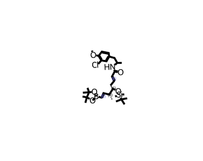 COc1ccc(CC(C)NC(=O)/C=C/C[C@H](O[Si](C)(C)C(C)(C)C)[C@H](C)/C=C/B2OC(C)(C)C(C)(C)O2)cc1Cl